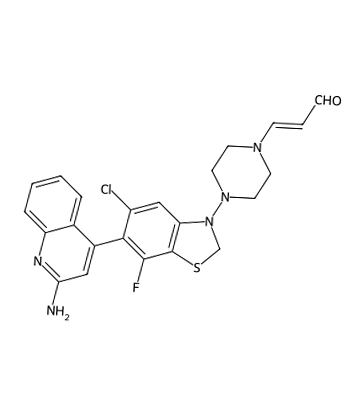 Nc1cc(-c2c(Cl)cc3c(c2F)SCN3N2CCN(C=CC=O)CC2)c2ccccc2n1